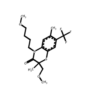 COCCCCN1C(=O)C(C)(COC)Sc2cc(C(F)(F)F)c(C)cc21